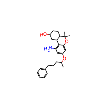 CC(CCCc1ccccc1)Oc1cc(N)c2c(c1)OC(C)(C)C1CCC(O)CC21